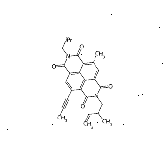 C=CC(C)CN1C(=O)c2cc(C)c3c4c(cc(C#CC)c(c24)C1=O)C(=O)N(CC(C)C)C3=O